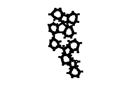 c1cc(-c2cccc3c2-c2ccccc2C32c3ccccc3-c3ccccc32)cc(-n2c3cccnc3c3c4oc5ccccc5c4ccc32)c1